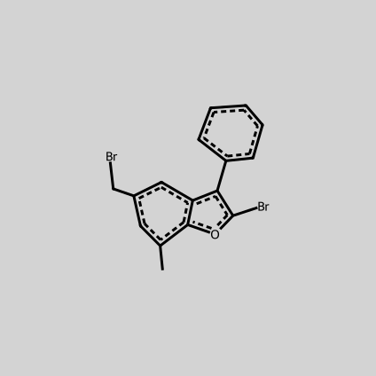 Cc1cc(CBr)cc2c(-c3ccccc3)c(Br)oc12